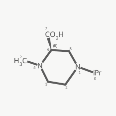 CC(C)N1CCN(C)[C@@H](C(=O)O)C1